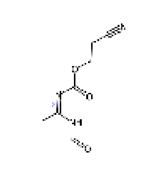 C/C(=N/C(=O)OCCC#N)NC=O